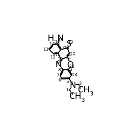 CCN(CC)c1ccc2nc3c4cccc(N)c4c(=S)cc-3oc2c1